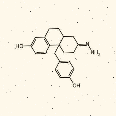 NN=C1CCC2(Cc3ccc(O)cc3)c3ccc(O)cc3CCC2C1